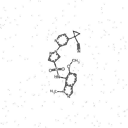 COc1ccc2cnn(C)c2c1NS(=O)(=O)c1cnn(-c2cc(C3(C#N)CC3)ccn2)c1